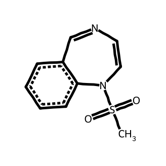 CS(=O)(=O)N1C=CN=Cc2ccccc21